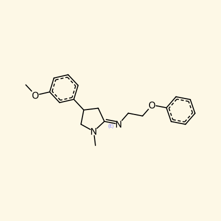 COc1cccc(C2C/C(=N\CCOc3ccccc3)N(C)C2)c1